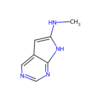 CNc1cc2cncnc2[nH]1